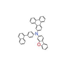 c1ccc2c(-c3ccc(N(c4ccc5c(c4)oc4ccccc45)c4ccc5c6ccccc6c6ccccc6c5c4)cc3)cccc2c1